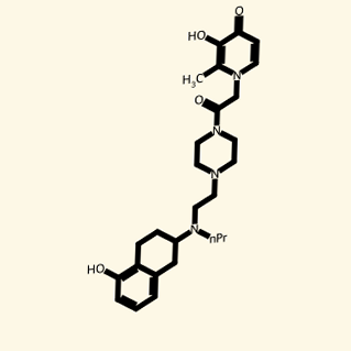 CCCN(CCN1CCN(C(=O)Cn2ccc(=O)c(O)c2C)CC1)C1CCc2c(O)cccc2C1